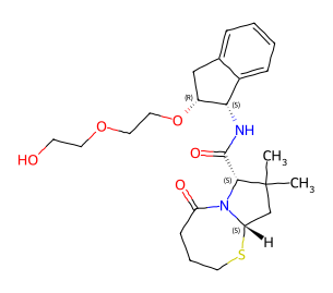 CC1(C)C[C@@H]2SCCCC(=O)N2[C@@H]1C(=O)N[C@H]1c2ccccc2C[C@H]1OCCOCCO